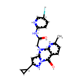 Cc1ccc2c(=O)n3nc(C4CC4)cc3n(CC(=O)Nc3ccc(F)cn3)c2n1